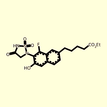 CCOC(=O)CCCCc1ccc2cc(O)c(N3CC(=O)NS3(=O)=O)c(F)c2c1